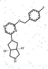 Fc1ccc(COc2cncc(N3C[C@H]4CNC[C@H]4C3)n2)cc1